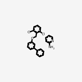 Clc1cccc(Cl)c1COc1cccc(-c2ccccc2)c1.Nc1ccccn1